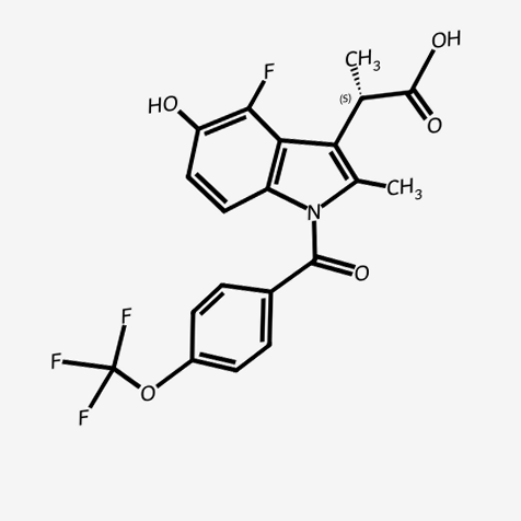 Cc1c([C@H](C)C(=O)O)c2c(F)c(O)ccc2n1C(=O)c1ccc(OC(F)(F)F)cc1